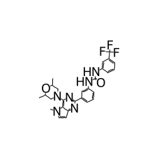 CC1CN(c2nc(-c3cccc(NC(=O)Nc4cccc(C(F)(F)F)c4)c3)nc3ccn(C)c23)CC(C)O1